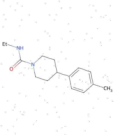 CCNC(=O)N1CCC(c2ccc(C)cc2)CC1